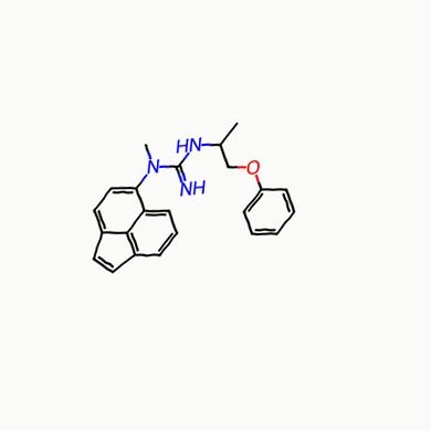 CC(COc1ccccc1)NC(=N)N(C)c1ccc2c3c(cccc13)C=C2